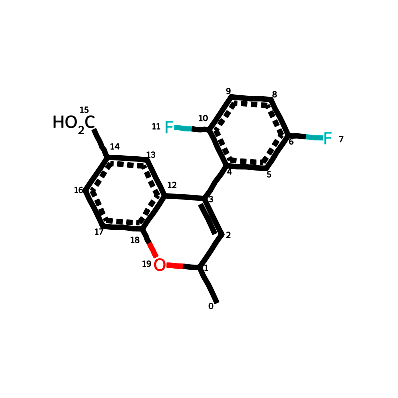 CC1C=C(c2cc(F)ccc2F)c2cc(C(=O)O)ccc2O1